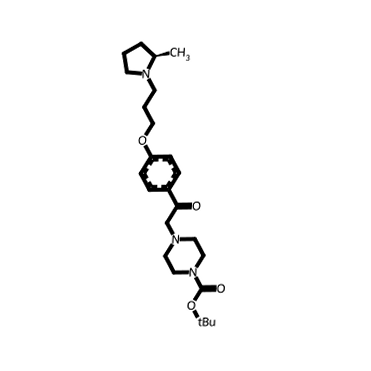 C[C@@H]1CCCN1CCCOc1ccc(C(=O)CN2CCN(C(=O)OC(C)(C)C)CC2)cc1